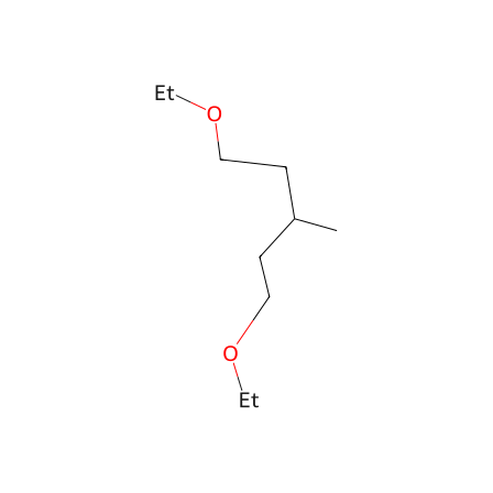 CCOCCC(C)CCOCC